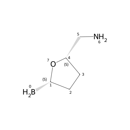 B[C@H]1CC[C@@H](CN)O1